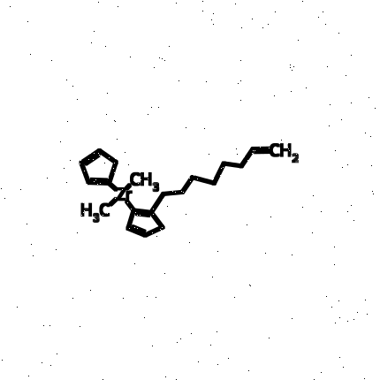 C=CCCCCCCC1=[C]([Zr]([CH3])([CH3])[C]2=CC=CC2)C=CC1